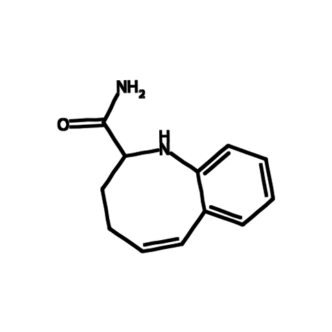 NC(=O)C1CCC=Cc2ccccc2N1